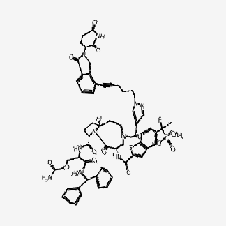 NC(=O)OCC(NC(=O)[C@@H]1CC[C@@H]2CCN(C(=O)c3cnn(CCCC#Cc4cccc5c4CN(C4CCC(=O)NC4=O)C5=O)c3)C[C@H](NC(=O)c3cc4cc(C(F)(F)P(=O)(O)O)ccc4s3)C(=O)N21)C(=O)NC(c1ccccc1)c1ccccc1